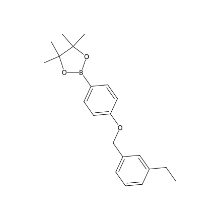 CCc1cccc(COc2ccc(B3OC(C)(C)C(C)(C)O3)cc2)c1